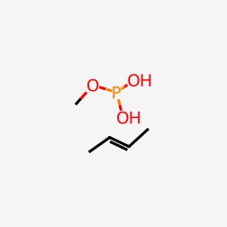 CC=CC.COP(O)O